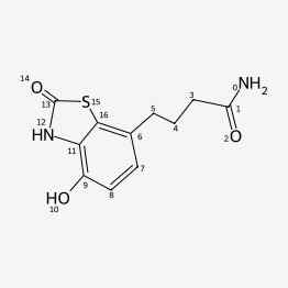 NC(=O)CCCc1ccc(O)c2[nH]c(=O)sc12